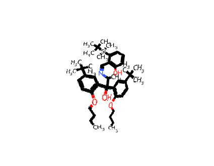 CCCCOc1ccc(C(C)(C)C)cc1C(O)(c1cc(C(C)(C)C)ccc1OCCCC)C(C)N=Cc1c(O)cccc1[Si](C)(C)C(C)(C)C